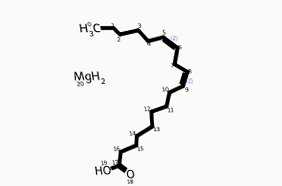 CCCCC/C=C\C/C=C\CCCCCCCC(=O)O.[MgH2]